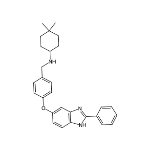 CC1(C)CCC(NCc2ccc(Oc3ccc4[nH]c(-c5ccccc5)nc4c3)cc2)CC1